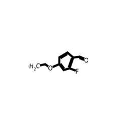 [CH2]COc1ccc(C=O)c(F)c1